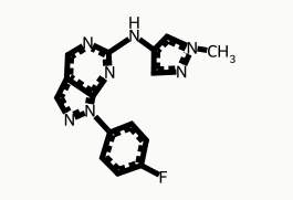 Cn1cc(Nc2ncc3cnn(-c4ccc(F)cc4)c3n2)cn1